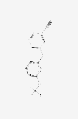 C#CC1=CN(Cc2cccc(OC(F)(F)F)c2)CN=C1